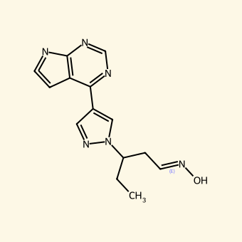 CCC(C/C=N/O)n1cc(-c2ncnc3c2C=C=N3)cn1